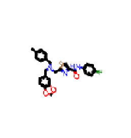 Cc1ccc(CN(Cc2ccc3c(c2)OCO3)Cc2nc(C(=O)Nc3ccc(F)cc3)cs2)cc1